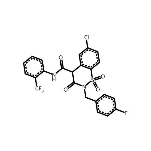 O=C(Nc1ccccc1C(F)(F)F)C1C(=O)N(Cc2ccc(F)cc2)S(=O)(=O)c2ccc(Cl)cc21